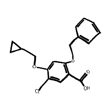 O=C(O)c1cc(Cl)c(OCC2CC2)cc1OCc1ccccc1